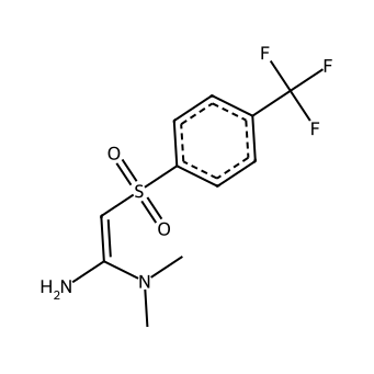 CN(C)C(N)=CS(=O)(=O)c1ccc(C(F)(F)F)cc1